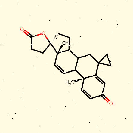 C[C@]12C=CC(=O)C=C1C1(CC1)CC1C2C=C[C@@]2(C)C1CC[C@@]21CCC(=O)O1